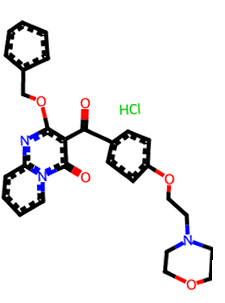 Cl.O=C(c1ccc(OCCN2CCOCC2)cc1)c1c(OCc2ccccc2)nc2ccccn2c1=O